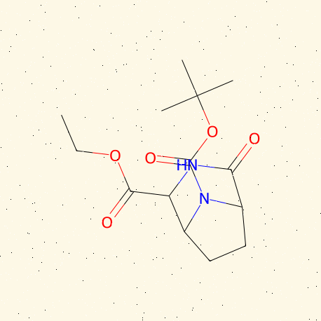 CCOC(=O)C1NC(=O)C2CCC1N2C(=O)OC(C)(C)C